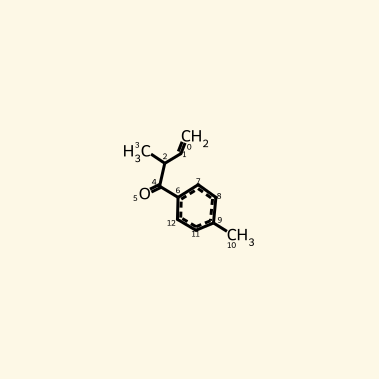 C=CC(C)C(=O)c1ccc(C)cc1